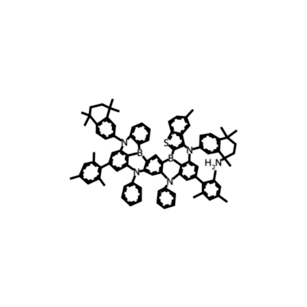 Cc1cc(C)c(-c2cc3c4c(c2)N(c2ccccc2)c2cc5c(cc2B4c2ccccc2N3c2ccc3c(c2)C(C)(C)CCC3(C)C)B2c3sc4ccc(C)cc4c3N(c3ccc4c(c3)C(C)(N)CCC4(C)C)c3cc(-c4c(C)cc(C)cc4C)cc(c32)N5c2ccccc2)c(C)c1